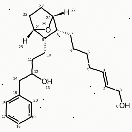 OCC=CCCCC[C@@H]1[C@H](CCC(O)Cc2ccccc2)[C@@H]2CC[C@H]1O2